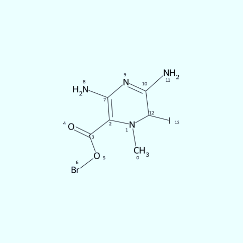 CN1C(C(=O)OBr)=C(N)N=C(N)C1I